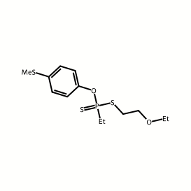 CCOCCSP(=S)(CC)Oc1ccc(SC)cc1